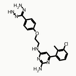 Cc1c(Cl)cccc1-c1cc(NCCOc2ccc(/C(N=N)=N/N)cc2)nc(N)n1